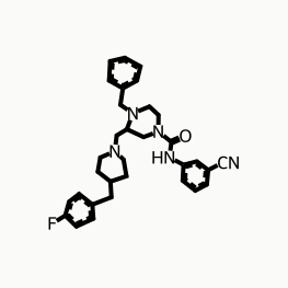 N#Cc1cccc(NC(=O)N2CCN(Cc3ccccc3)C(CN3CCC(Cc4ccc(F)cc4)CC3)C2)c1